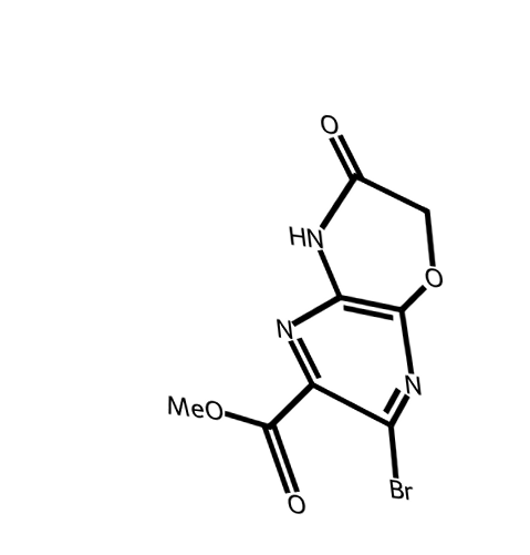 COC(=O)c1nc2c(nc1Br)OCC(=O)N2